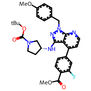 COC(=O)c1ccc(-c2ccnc3c2c(N[C@@H]2CCN(C(=O)OC(C)(C)C)C2)nn3Cc2ccc(OC)cc2)cc1F